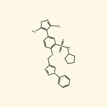 Cc1noc(C)c1-c1ccc(OCc2cn(-c3ccccc3)nn2)c(S(=O)(=O)NC2CCCC2)c1